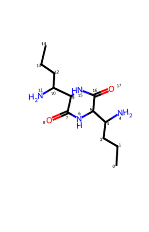 CCCC(N)C1NC(=O)C(C(N)CCC)NC1=O